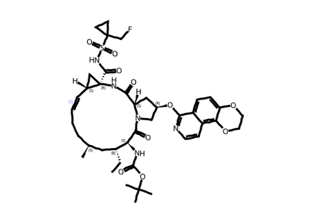 CC[C@@H]1C[C@@H](C)CC/C=C\[C@@H]2C[C@@]2(C(=O)NS(=O)(=O)C2(CF)CC2)NC(=O)[C@@H]2C[C@@H](Oc3nccc4c5c(ccc34)OCCO5)CN2C(=O)[C@H]1NC(=O)OC(C)(C)C